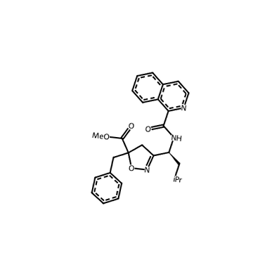 COC(=O)C1(Cc2ccccc2)CC([C@H](CC(C)C)NC(=O)c2nccc3ccccc23)=NO1